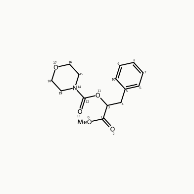 COC(=O)C(Cc1ccccc1)OC(=O)N1CCOCC1